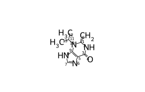 C=C1NC(=O)c2nc[nH]c2N1C(C)C